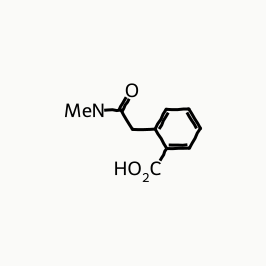 CNC(=O)Cc1ccccc1C(=O)O